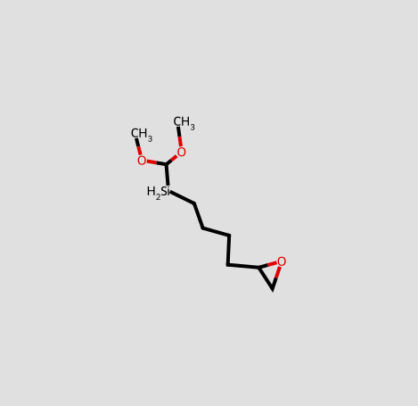 COC(OC)[SiH2]CCCCC1CO1